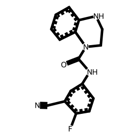 N#Cc1cc(NC(=O)N2CCNc3ccccc32)ccc1F